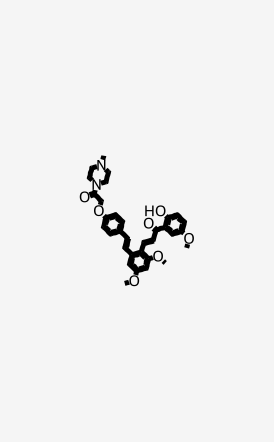 COc1cc(/C=C/c2ccc(OCC(=O)N3CCN(C)CC3)cc2)c(/C=C/C(=O)c2cc(OC)ccc2O)c(OC)c1